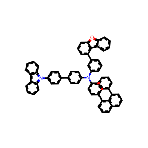 c1ccc(-c2cccc3cccc(-c4ccc(N(c5ccc(-c6ccc(-n7c8ccccc8c8ccccc87)cc6)cc5)c5cccc(-c6cccc7oc8ccccc8c67)c5)cc4)c23)cc1